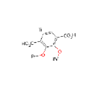 CC(C)Oc1c(C(=O)O)ccc(C(=O)O)c1OC(C)C.[Ti]